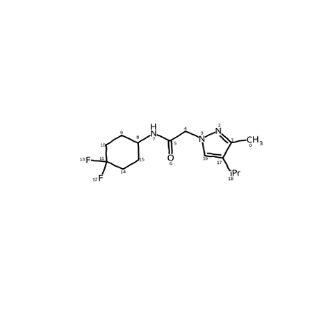 Cc1nn(CC(=O)NC2CCC(F)(F)CC2)cc1C(C)C